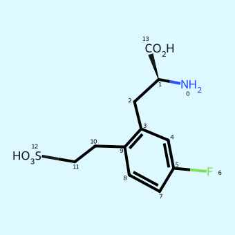 N[C@@H](Cc1cc(F)ccc1CCS(=O)(=O)O)C(=O)O